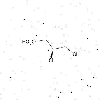 O=C(O)C[C@H](Cl)CO